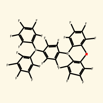 Fc1c(F)c(F)c(B(c2c(F)c(F)c(F)c(F)c2F)c2c(F)c(F)c(B(c3c(F)c(F)c(F)c(F)c3F)c3c(F)c(F)c(F)c(F)c3F)c(F)c2F)c(F)c1F